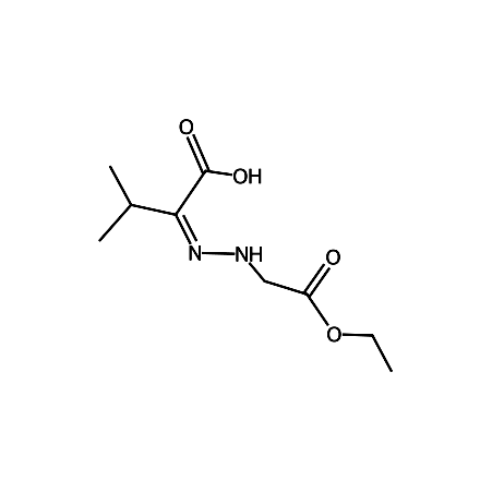 CCOC(=O)CN/N=C(\C(=O)O)C(C)C